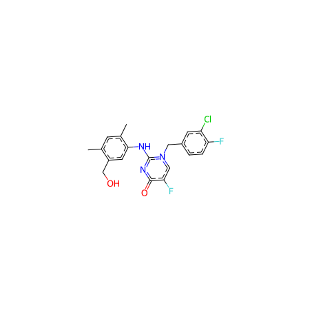 Cc1cc(C)c(Nc2nc(=O)c(F)cn2Cc2ccc(F)c(Cl)c2)cc1CO